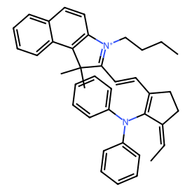 CC=C1CCC(C=CC2=[N+](CCCC)c3ccc4ccccc4c3C2(C)C)=C1N(c1ccccc1)c1ccccc1